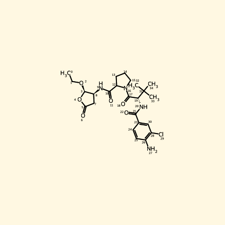 CCO[C@@H]1OC(=O)C[C@@H]1NC(=O)C1CCCN1C(=O)[C@@H](NC(=O)c1ccc(N)c(Cl)c1)C(C)(C)C